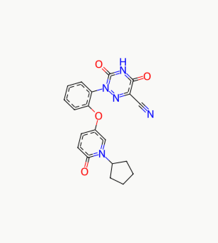 N#Cc1nn(-c2ccccc2Oc2ccc(=O)n(C3CCCC3)c2)c(=O)[nH]c1=O